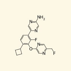 Nc1cnc(-c2ccc(C3CCC3)c(Oc3cnc(CF)cn3)c2F)cn1